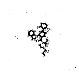 C=CC(=O)N1CCN2C(=O)c3c(N4CCc5ccccc54)nc(-c4c(O)cccc4F)c(Cl)c3OC[C@H]2C1